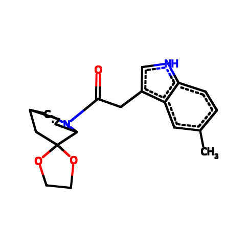 Cc1ccc2[nH]cc(CC(=O)N3CC4C=CC3C3(C4)OCCO3)c2c1